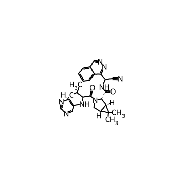 CC(C)[C@H](Nc1cncnc1)C(=O)N1C[C@H]2[C@@H]([C@H]1C(=O)NC(C#N)c1nncc3ccccc13)C2(C)C